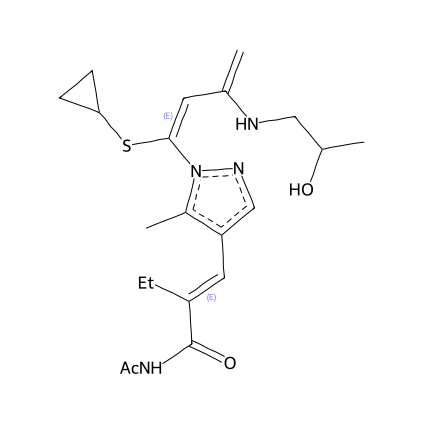 C=C(/C=C(/SC1CC1)n1ncc(/C=C(\CC)C(=O)NC(C)=O)c1C)NCC(C)O